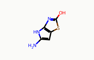 Nc1cc2sc(O)nc2[nH]1